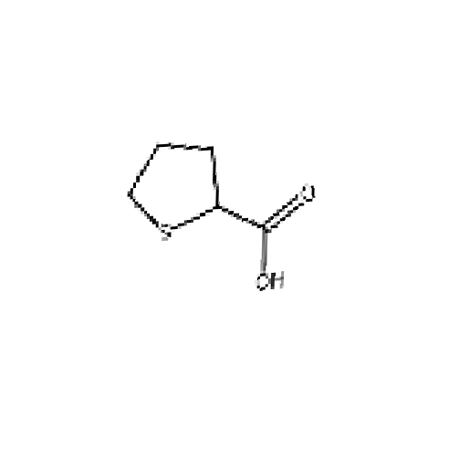 O=C(O)[C]1CCCS1